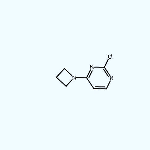 Clc1nccc(N2CCC2)n1